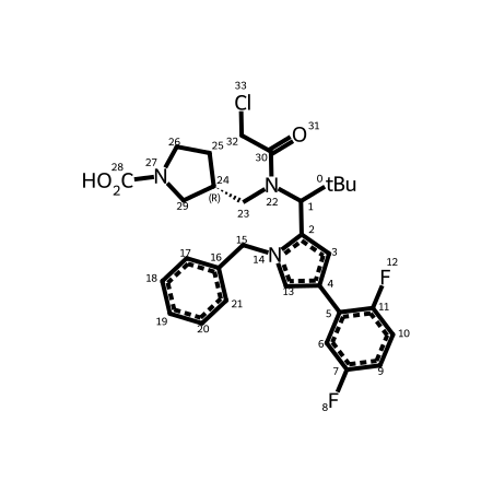 CC(C)(C)C(c1cc(-c2cc(F)ccc2F)cn1Cc1ccccc1)N(C[C@H]1CCN(C(=O)O)C1)C(=O)CCl